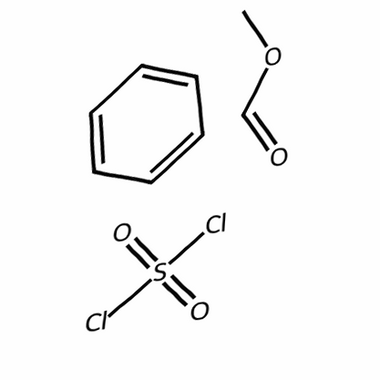 COC=O.O=S(=O)(Cl)Cl.c1ccccc1